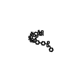 CS(=O)(=O)C(c1nnc(CC2SC(=O)NC2=O)o1)c1nc2ccc(-c3ccc(C(=O)OCc4ccccc4)cc3)cc2s1